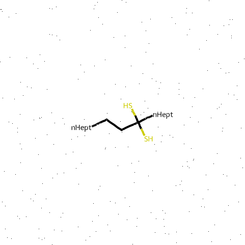 CCCCCCCCCC(S)(S)CCCCCCC